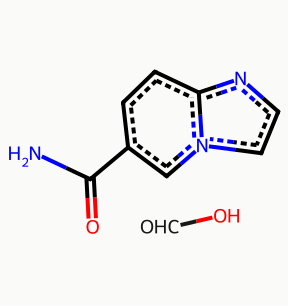 NC(=O)c1ccc2nccn2c1.O=CO